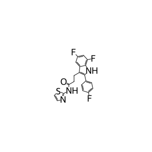 O=C(CCc1c(-c2ccc(F)cc2)[nH]c2c(F)cc(F)cc12)Nc1nccs1